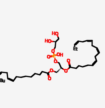 CC/C=C\C/C=C\C/C=C\C/C=C\CCCCC(=O)O[C@H](COC(=O)CCCCCCC/C=C\C/C=C\CCCC)COP(=O)(O)OC[C@@H](O)CO